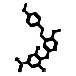 COc1ccc(CSc2cc(Oc3c(Cl)cc([N+](=O)[O-])cc3Cl)ncc2OC)cc1